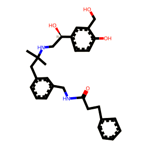 CC(C)(Cc1cccc(CNC(=O)CCc2ccccc2)c1)NC[C@@H](O)c1ccc(O)c(CO)c1